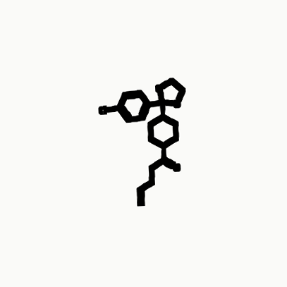 C=CCCC(=O)[C@H]1CC[C@@H](C2(c3ccc(Cl)cc3)OCCO2)CC1